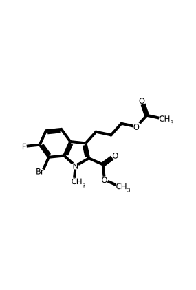 COC(=O)c1c(CCCOC(C)=O)c2ccc(F)c(Br)c2n1C